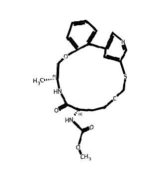 COC(=O)N[C@H]1CCCCSc2cncc(c2)-c2ccccc2OC[C@@H](C)NC1=O